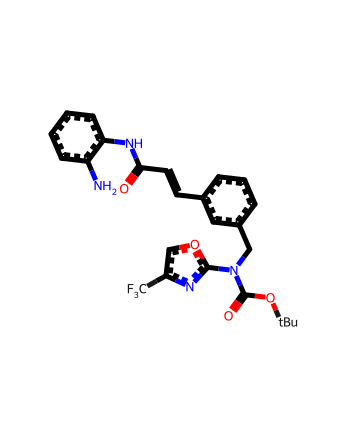 CC(C)(C)OC(=O)N(Cc1cccc(C=CC(=O)Nc2ccccc2N)c1)c1nc(C(F)(F)F)co1